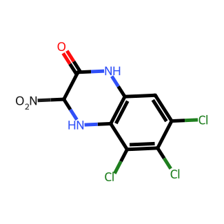 O=C1Nc2cc(Cl)c(Cl)c(Cl)c2NC1[N+](=O)[O-]